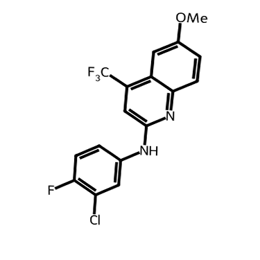 COc1ccc2nc(Nc3ccc(F)c(Cl)c3)cc(C(F)(F)F)c2c1